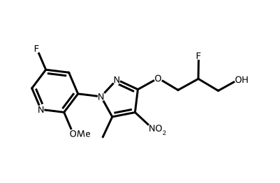 COc1ncc(F)cc1-n1nc(OCC(F)CO)c([N+](=O)[O-])c1C